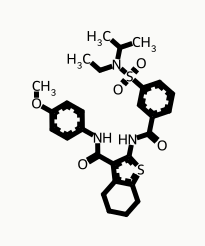 CCN(C(C)C)S(=O)(=O)c1cccc(C(=O)Nc2sc3c(c2C(=O)Nc2ccc(OC)cc2)CCCC3)c1